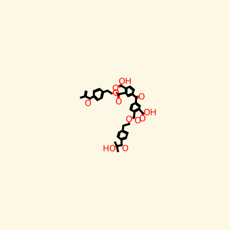 C=C(C)C(=O)c1ccc(CCOC(=O)c2cc(C(=O)c3ccc(C(=O)OCCc4ccc(C(=O)C(C)(C)O)cc4)c(C(=O)O)c3)ccc2C(=O)O)cc1